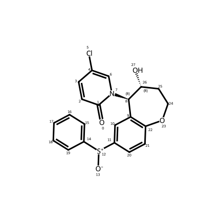 O=c1ccc(Cl)cn1[C@@H]1c2cc([S+]([O-])c3ccccc3)ccc2OCC[C@H]1O